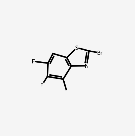 Cc1c(F)c(F)cc2sc(Br)nc12